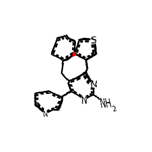 Nc1nc(-c2cccnc2)c(Cc2ccccc2)c(-c2ccsc2)n1